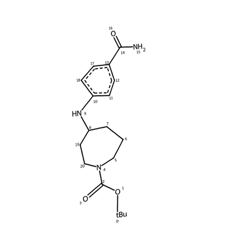 CC(C)(C)OC(=O)N1CCCC(Nc2ccc(C(N)=O)cc2)CC1